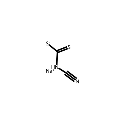 N#CNC(=S)[S-].[Na+]